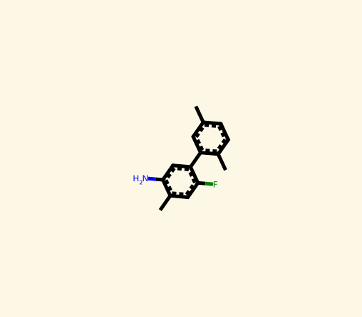 Cc1ccc(C)c(-c2cc(N)c(C)cc2F)c1